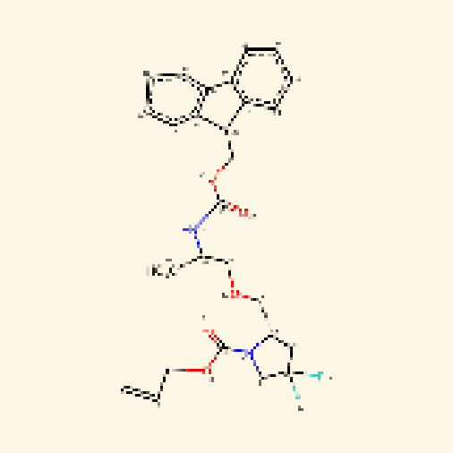 C=CCOC(=O)N1CC(F)(F)C[C@H]1COCC(NC(=O)OCC1c2ccccc2-c2ccccc21)C(=O)O